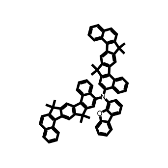 CC1(C)c2cc3c(cc2-c2c1ccc1ccccc21)C(C)(C)c1cc(N(c2cc4c(c5ccccc25)-c2cc5c(cc2C4(C)C)-c2c(ccc4ccccc24)C5(C)C)c2cccc4c2oc2ccccc24)c2ccccc2c1-3